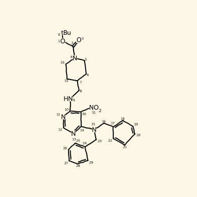 CC(C)(C)OC(=O)N1CCC(CNc2ncnc(N(Cc3ccccc3)Cc3ccccc3)c2[N+](=O)[O-])CC1